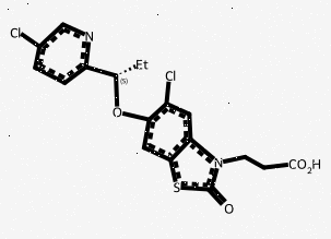 CC[C@H](Oc1cc2sc(=O)n(CCC(=O)O)c2cc1Cl)c1ccc(Cl)cn1